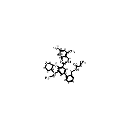 C=CC(=O)NCc1ccccc1-c1cc(C(=O)NCc2c(C)cc(C)[nH]c2=O)c(C)c(N(CC)C2CCOCC2)c1